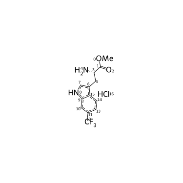 COC(=O)[C@@H](N)Cc1c[nH]c2cc(C(F)(F)F)ccc12.Cl